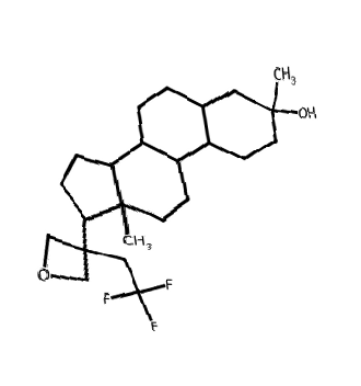 CC1(O)CCC2C(CCC3C2CCC2(C)C3CCC2C2(CC(F)(F)F)COC2)C1